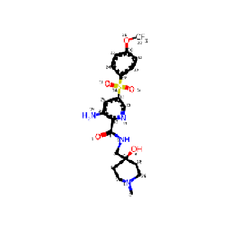 CN1CCC(O)(CNC(=O)c2ncc(S(=O)(=O)c3ccc(OC(F)(F)F)cc3)cc2N)CC1